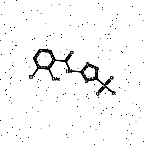 CCS(=O)(=O)c1cnc(NC(=O)c2cccc(Cl)c2OC(C)=O)s1